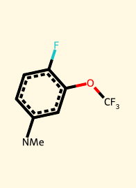 CNc1ccc(F)c(OC(F)(F)F)c1